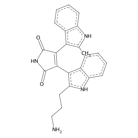 Cc1[nH]c2ccccc2c1C1=C(c2c(CCCN)[nH]c3ccccc23)C(=O)NC1=O